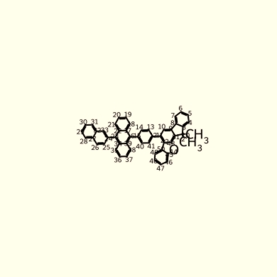 CC1(C)c2ccccc2-c2cc(-c3ccc(-c4c5ccccc5c(-c5ccc6ccccc6c5)c5ccccc45)cc3)c3c(oc4ccccc43)c21